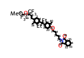 CCC(CC)(c1ccc(/C=C/C(OCOC)(C(F)(F)F)C(F)(F)F)c(C)c1)c1ccc(OCCCCCN2C(=O)c3ccccc3C2=O)c(C)c1